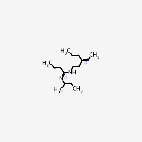 C/C=C(\CCC)CCN/C(CCC)=N\C(C)CC